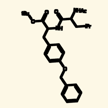 CC(=O)NC(CC(C)C)C(=O)NC(Cc1ccc(OCc2ccccc2)cc1)C(=O)OC(C)(C)C